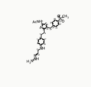 CC(=O)Nc1nc(CCc2ccc(NCC=NNN)cc2)c(Cc2ccc(S(C)(=O)=O)cc2)s1